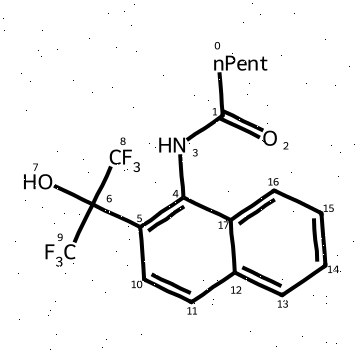 CCCCCC(=O)Nc1c(C(O)(C(F)(F)F)C(F)(F)F)ccc2ccccc12